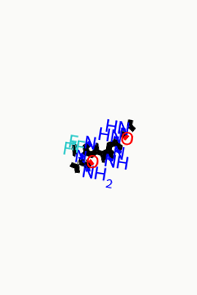 CC(C)NC(=O)Nc1cnc2[nH]cc(-c3cncc(N(CC(F)(F)F)[C@H](C(N)=O)C(C)C)c3)c2c1